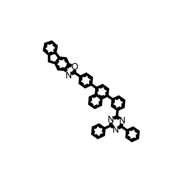 c1ccc(-c2nc(-c3ccccc3)nc(-c3cccc(-c4ccc(-c5ccc(-c6nc7cc8c(cc7o6)-c6ccccc6C8)cc5)c5ccccc45)c3)n2)cc1